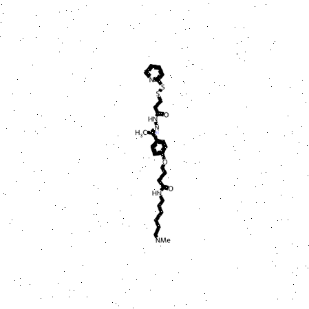 CNCCCCCCNC(=O)CCCOc1ccc(/C(C)=N/NC(=O)CCSSc2ccccn2)cc1